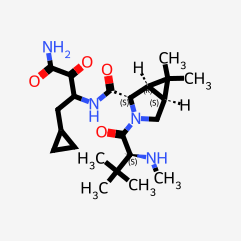 CN[C@H](C(=O)N1C[C@H]2[C@@H]([C@H]1C(=O)NC(CC1CC1)C(=O)C(N)=O)C2(C)C)C(C)(C)C